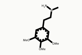 COc1cc(CCN(C)N)cc(OC)c1OC